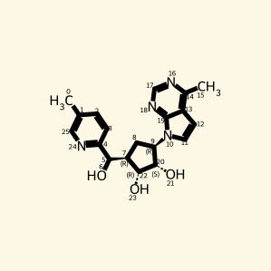 Cc1ccc(C(O)[C@H]2C[C@@H](n3ccc4c(C)ncnc43)[C@H](O)[C@@H]2O)nc1